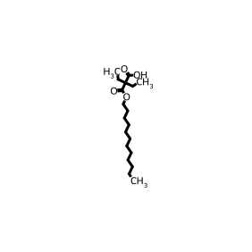 CCCCCCCCCCCCOC(=O)C(CC)(CC)C(=O)O